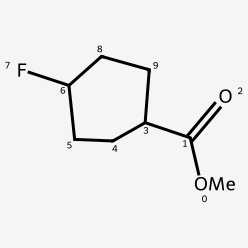 COC(=O)C1CCC(F)CC1